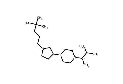 CC(C)[C@@H](C)N1CCN(C2CCN(CCCC(C)(C)C)C2)CC1